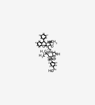 COC(=O)N(CCN[C@@H]1CNC[C@H]1N(CCC(C)C)S(=O)(=O)c1ccc(CO)cc1)C(=O)[C@@H](N)C(c1ccccc1)c1ccccc1